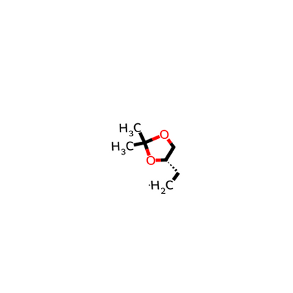 [CH2]C[C@H]1COC(C)(C)O1